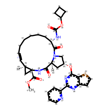 COC(=O)[C@@]12C[C@H]1/C=C\CCCCC[C@H](NC(=O)OC1CCC1)C(=O)N1C[C@H](Oc3nc(-c4ccccn4)nc4ccsc34)C[C@H]1C(=O)N2